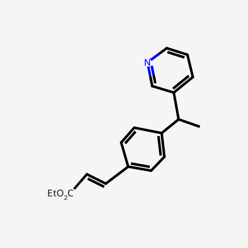 CCOC(=O)C=Cc1ccc(C(C)c2cccnc2)cc1